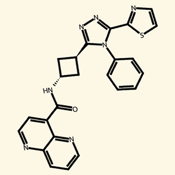 O=C(N[C@H]1C[C@H](c2nnc(-c3nccs3)n2-c2ccccc2)C1)c1ccnc2cccnc12